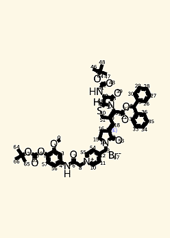 COc1cc(NC(=O)C[n+]2ccc(CN3CC/C(=C\C4=C(C(=O)OC(c5ccccc5)c5ccccc5)N5C(=O)[C@@H](NC(=O)OC(C)(C)C)[C@H]5SC4)C3=O)cc2)ccc1OC(=O)OC(C)(C)C.[Br-]